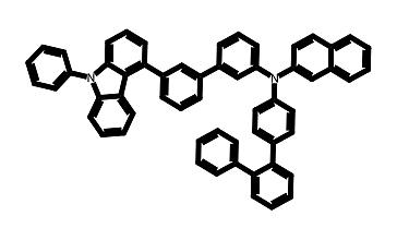 c1ccc(-c2ccccc2-c2ccc(N(c3cccc(-c4cccc(-c5cccc6c5c5ccccc5n6-c5ccccc5)c4)c3)c3ccc4ccccc4c3)cc2)cc1